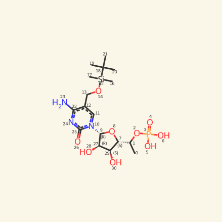 CC(OP(=O)(O)O)[C@H]1O[C@@H](n2cc(CO[Si](C)(C)C(C)(C)C)c(N)nc2=O)[C@H](O)[C@@H]1O